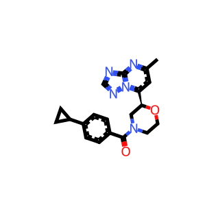 Cc1cc([C@@H]2CN(C(=O)c3ccc(C4CC4)cc3)CCO2)n2ncnc2n1